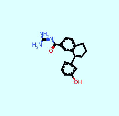 NC(N)=NC(=O)c1ccc2c(c1)C(c1cccc(O)c1)=CCC2